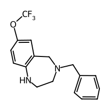 FC(F)(F)Oc1ccc2c(c1)CN(Cc1ccccc1)CCN2